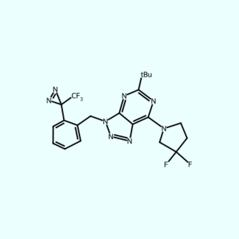 CC(C)(C)c1nc(N2CCC(F)(F)C2)c2nnn(Cc3ccccc3C3(C(F)(F)F)N=N3)c2n1